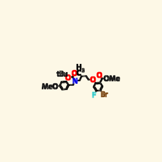 COC(=O)c1cc(Br)c(F)cc1OCC[C@@H](C)CN(Cc1ccc(OC)cc1)C(=O)OC(C)(C)C